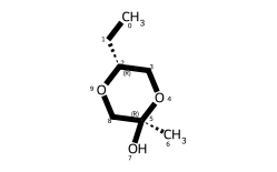 CC[C@@H]1CO[C@@](C)(O)CO1